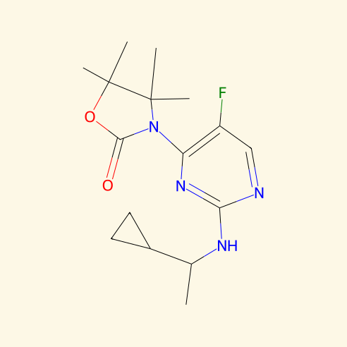 CC(Nc1ncc(F)c(N2C(=O)OC(C)(C)C2(C)C)n1)C1CC1